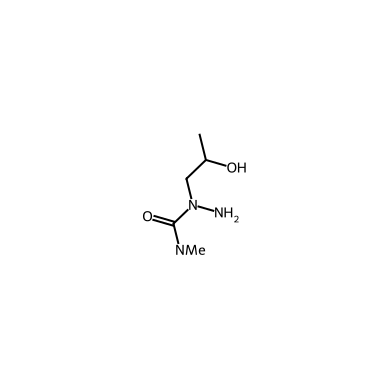 CNC(=O)N(N)CC(C)O